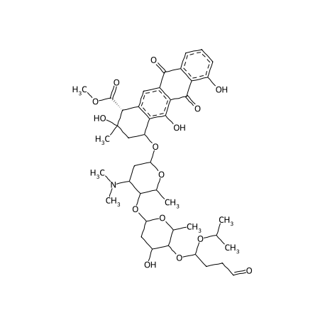 COC(=O)[C@@H]1c2cc3c(c(O)c2C(OC2CC(N(C)C)C(OC4CC(O)C(OC(CCC=O)OC(C)C)C(C)O4)C(C)O2)CC1(C)O)C(=O)c1c(O)cccc1C3=O